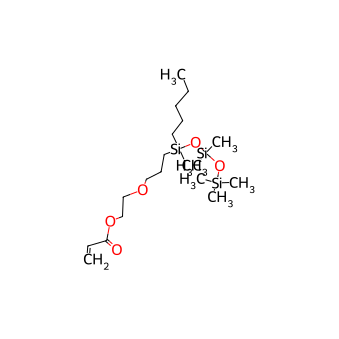 C=CC(=O)OCCOCCC[Si](C)(CCCCC)O[Si](C)(C)O[Si](C)(C)C